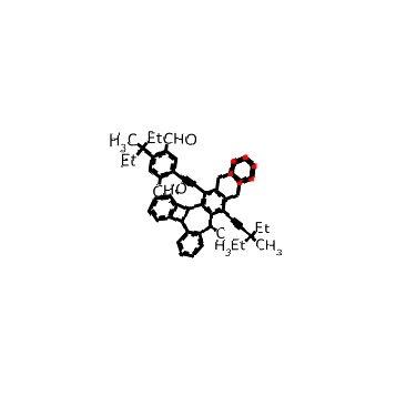 CCC(C)(C#Cc1c2c(c(C#Cc3cc(C=O)c(C(C)(CC)CC)cc3C=O)c3c1C1c4ccccc4C3c3ccccc31)C1c3ccccc3C1c1ccccc1C2C)CC